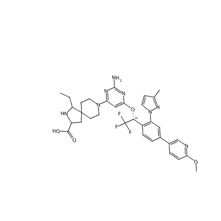 CCC1NC(C(=O)O)CC12CCN(c1cc(O[C@H](c3ccc(-c4ccc(OC)nc4)cc3-n3ccc(C)n3)C(F)(F)F)nc(N)n1)CC2